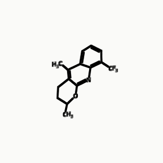 Cc1c2c(nc3c(C(F)(F)F)cccc13)OC(C)CC2